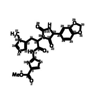 COC(=O)c1csc(NC(=O)C(Cc2cncn2C)N2C(=O)NC(c3ccc4c(c3)OCO4)C2=O)n1